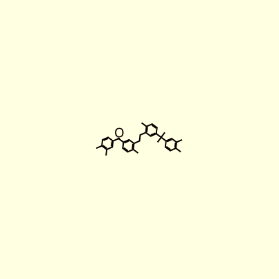 Cc1ccc(C(=O)c2ccc(C)c(CCc3cc(C(C)(C)c4ccc(C)c(C)c4)ccc3C)c2)cc1C